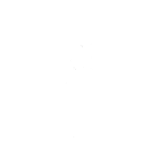 O=C(COc1ccccc1)NC1C(=O)N2C(C(=O)OC(c3ccccc3)c3ccccc3)=C(COc3ccc(Br)cc3)CS[C@H]12